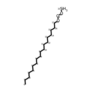 CCCCCCCCCCCCCCCCCCOOO[SiH3]